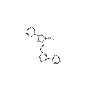 Cn1cc(-c2ccccc2)nc1/C=C/c1cccc(-c2ccncc2)n1